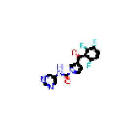 O=C(c1ccn(C(=O)Nc2cncnc2)c1)c1c(F)ccc(F)c1F